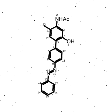 CC(=O)Nc1cc(O)c(-c2ccc(/N=N/c3ccccc3)cc2)cc1C